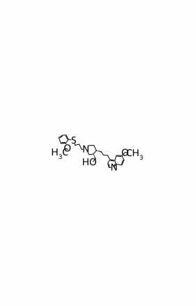 COc1ccc2nccc(CCC[C@@H]3CCN(CCCSc4ccccc4OC)C[C@@H]3CO)c2c1